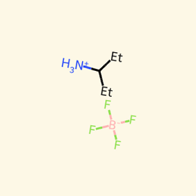 CCC([NH3+])CC.F[B-](F)(F)F